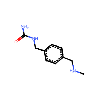 CNCc1ccc(CNC(N)=O)cc1